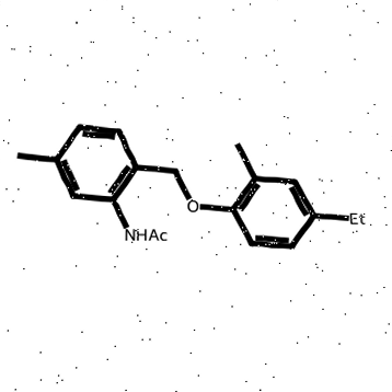 CCc1ccc(OCc2ccc(C)cc2NC(C)=O)c(C)c1